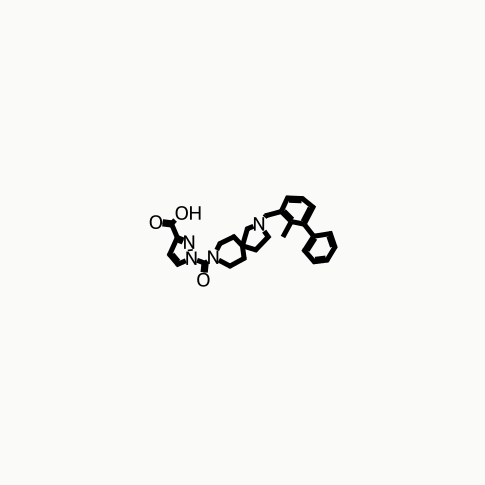 Cc1c(CN2CCC3(CCN(C(=O)n4ccc(C(=O)O)n4)CC3)C2)cccc1-c1ccccc1